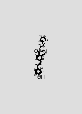 O=c1c2ccc(/C=C/c3ccc(O)cc3)cc2cnn1CCN1CCCC1